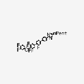 CCCCCc1cnc(-c2ccc(-c3ccc(-c4cc(F)c(C(F)(F)Oc5ccc(F)c(F)c5)c(F)c4)c(F)c3)cc2)nc1